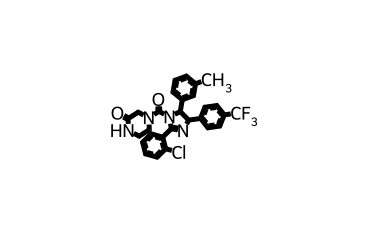 Cc1cccc(C2C(c3ccc(C(F)(F)F)cc3)N=C(c3ccccc3Cl)N2C(=O)N2CCNC(=O)C2)c1